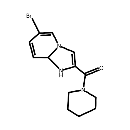 O=C(C1=CN2C=C(Br)C=CC2N1)N1CCCCC1